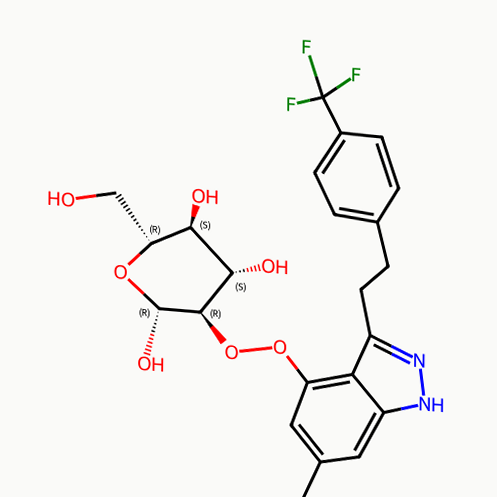 Cc1cc(OO[C@@H]2[C@@H](O)[C@H](O)[C@@H](CO)O[C@H]2O)c2c(CCc3ccc(C(F)(F)F)cc3)n[nH]c2c1